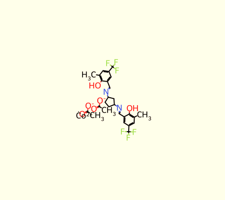 CC(=O)[O-].CC(=O)[O-].Cc1cc(C(F)(F)F)cc(C=NC2CCC(N=Cc3cc(C(F)(F)F)cc(C)c3O)C2)c1O.[Co+2]